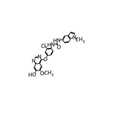 COc1cc2c(Oc3ccc(NC(=O)Nc4ccc5c(ccn5C)c4)c(Cl)c3)ncnc2cc1O